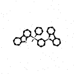 CS(c1ccccc1)(c1cccc(-n2c3ccccc3c3ccccc32)c1)c1cccc2c1sc1ccccc12